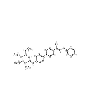 CC(=O)OC[C@H]1O[C@@H](Oc2ccc(-c3ccc(C(=O)OCc4ccccc4)cc3)cc2)[C@H](OC(C)=O)[C@@H](OC(C)=O)[C@H]1OC(C)=O